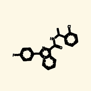 CC(NC(=O)c1nc(-c2ccc(F)cc2)n2ccccc12)c1ccccc1Cl